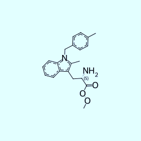 COOC(=O)[C@@H](N)Cc1c(C)n(Cc2ccc(C)cc2)c2ccccc12